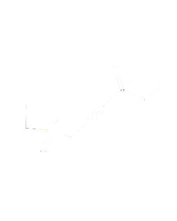 COC(=O)C#CCS(=O)(=O)C(C)C